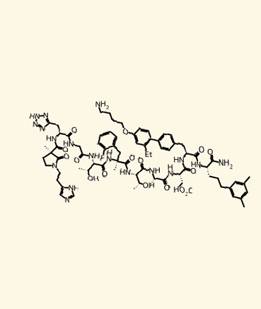 CCc1cc(OCCCCN)ccc1-c1ccc(C[C@H](NC(=O)[C@H](CC(=O)O)NC(=O)[C@H](C)NC(=O)[C@@H](NC(=O)[C@](C)(Cc2ccccc2F)NC(=O)[C@@H](NC(=O)CNC(=O)[C@H](Cc2nn[nH]n2)NC(=O)[C@]2(C)CCN(CCc3cnc[nH]3)C2=O)[C@@H](C)O)[C@@H](C)O)C(=O)N[C@@H](CCCc2cc(C)cc(C)c2)C(N)=O)cc1